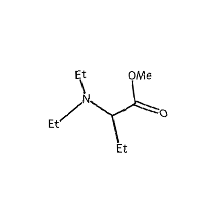 CCC(C(=O)OC)N(CC)CC